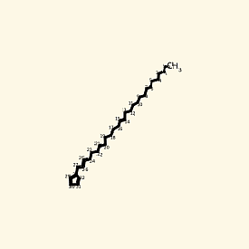 CCCCCCCCCCCCCCCCCCCCCCCCCCCCC1=[C]CC=C1